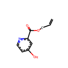 C=CCOC(=O)c1cc(O)ccn1